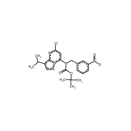 CC(C)c1cnn2c(N(Cc3cccc([N+](=O)[O-])c3)C(=O)OC(C)(C)C)cc(Cl)nc12